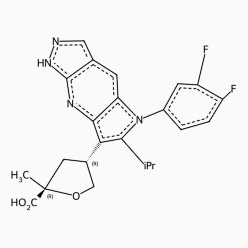 CC(C)c1c([C@@H]2CO[C@@](C)(C(=O)O)C2)c2nc3[nH]ncc3cc2n1-c1ccc(F)c(F)c1